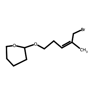 C/C(=C/CCOC1CCCCO1)CBr